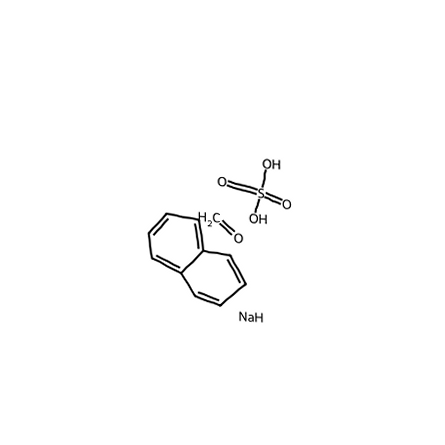 C=O.O=S(=O)(O)O.[NaH].c1ccc2ccccc2c1